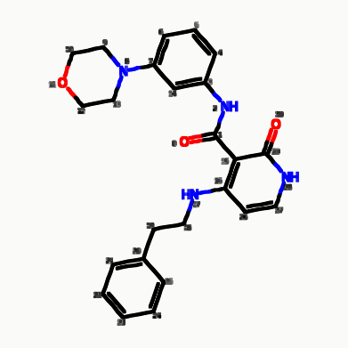 O=C(Nc1cccc(N2CCOCC2)c1)c1c(NCCc2ccccc2)cc[nH]c1=O